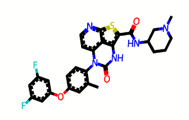 Cc1cc(Oc2cc(F)cc(F)c2)ccc1N1C(=O)Nc2c(C(=O)NC3CCCN(C)C3)sc3nccc1c23